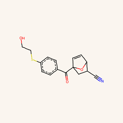 N#CC1CC2(C(=O)c3ccc(SCCO)cc3)C=CC1O2